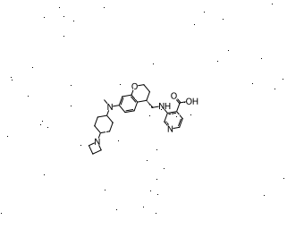 CN(c1ccc2c(c1)OCC[C@H]2CNc1cnccc1C(=O)O)C1CCC(N2CCC2)CC1